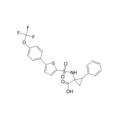 O=C(O)C1(NS(=O)(=O)c2ccc(-c3ccc(OC(F)(F)F)cc3)s2)CC1c1ccccc1